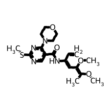 C=C/C(=C\C(OC)=C(/C)OC)NC(=O)c1cnc(SC)nc1N1CCOCC1